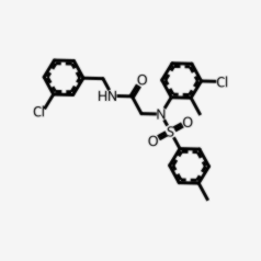 Cc1ccc(S(=O)(=O)N(CC(=O)NCc2cccc(Cl)c2)c2cccc(Cl)c2C)cc1